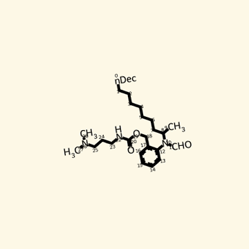 CCCCCCCCCCCCCCCCCC(C)N(C=O)c1ccccc1COC(=O)NCCCN(C)C